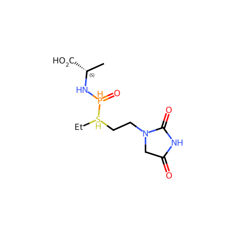 CC[SH](CCN1CC(=O)NC1=O)[PH](=O)N[C@@H](C)C(=O)O